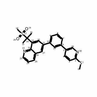 CSc1ccc(-c2cccc(-c3cc(C(C)(C)S(C)(=O)=O)c4ncccc4c3)c2)cn1